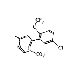 Cc1cc(-c2cc(Cl)ccc2OC(F)(F)F)c(C(=O)O)cn1